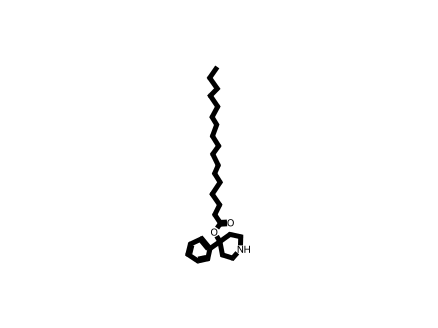 CCCCCCCCCCCCCCCCC(=O)OC1(c2ccccc2)CCNCC1